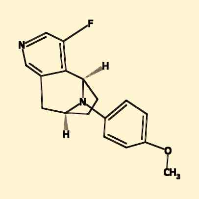 COc1ccc(N2[C@H]3CC[C@@H]2c2c(F)cncc2C3)cc1